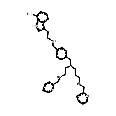 Cc1cccc2c(CCNCc3ccc(CN(CCCNCc4ccccn4)CCNCc4ccccn4)cc3)c[nH]c12